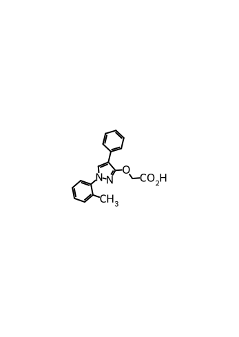 Cc1ccccc1-n1cc(-c2ccccc2)c(OCC(=O)O)n1